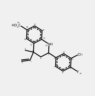 C=CC1(C)CC(c2ccc(F)c(Cl)c2)Nc2ccc(C(=O)O)cc21